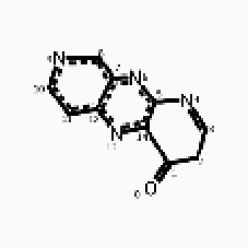 O=C1CC=Nc2nc3cnccc3nc21